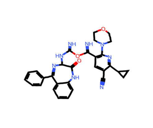 N#Cc1cc(C(=N)OC(=N)NC2N=C(c3ccccc3)c3ccccc3NC2=O)c(N2CCOCC2)nc1C1CC1